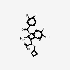 Cc1c([C@H](CC2CCC2)C(=O)O)c2c(F)c(O)c(F)cc2n1C(=O)c1ccc(Cl)c(F)c1